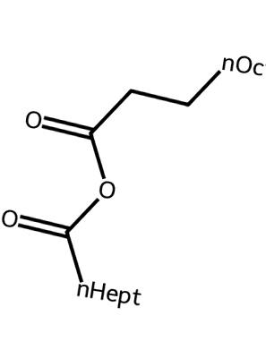 CCCCCCCCCCC(=O)OC(=O)CCCCCCC